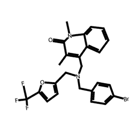 Cc1c(CN(Cc2ccc(Br)cc2)Cc2ccc(C(F)(F)F)o2)c2ccccc2n(C)c1=O